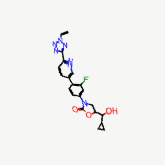 C=Cn1nnc(-c2ccc(-c3ccc(N4CC(C(O)C5CC5)OC4=O)cc3F)cn2)n1